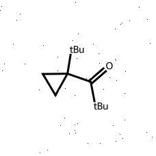 CC(C)(C)C(=O)C1(C(C)(C)C)CC1